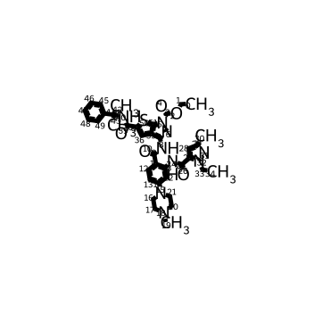 CCOC(=O)n1nc(NC(=O)c2ccc(N3CCN(C)CC3)cc2NC(=O)c2cc(C)nn2CC)c2cc(C(=O)NC(C)(C)c3ccccc3)sc21